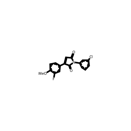 COc1ccc(C2=CC(=O)N(c3cccc(Cl)c3)C2=O)cc1F